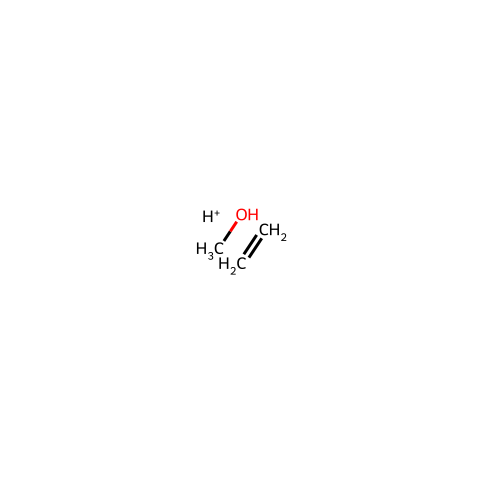 C=C.CO.[H+]